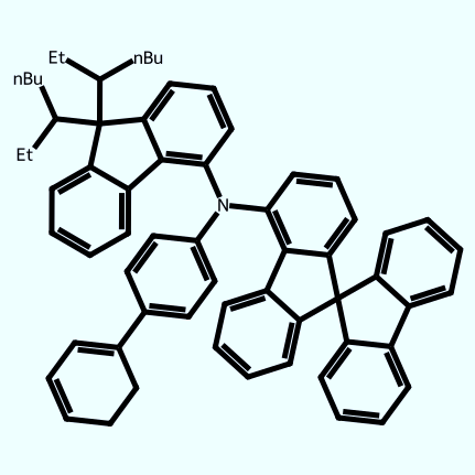 CCCCC(CC)C1(C(CC)CCCC)c2ccccc2-c2c(N(c3ccc(C4=CC=CCC4)cc3)c3cccc4c3-c3ccccc3C43c4ccccc4-c4ccccc43)cccc21